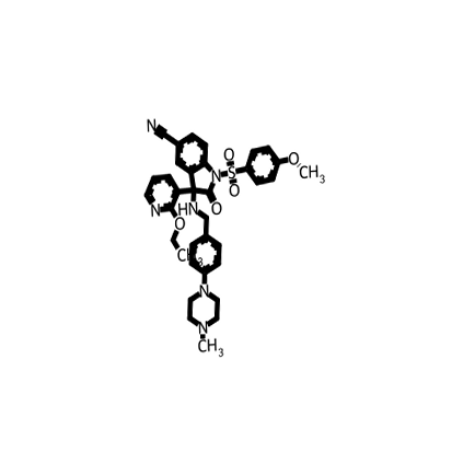 CCOc1ncccc1C1(NCc2ccc(N3CCN(C)CC3)cc2)C(=O)N(S(=O)(=O)c2ccc(OC)cc2)c2ccc(C#N)cc21